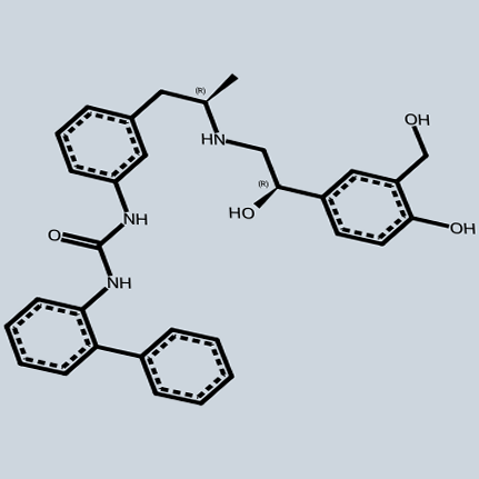 C[C@H](Cc1cccc(NC(=O)Nc2ccccc2-c2ccccc2)c1)NC[C@H](O)c1ccc(O)c(CO)c1